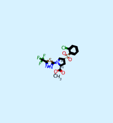 COC(=O)[C@@H]1C[C@@H](S(=O)(=O)c2ccccc2Cl)CN1c1nnc(C(F)(F)F)s1